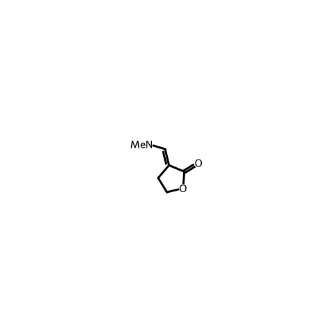 CN/C=C1\CCOC1=O